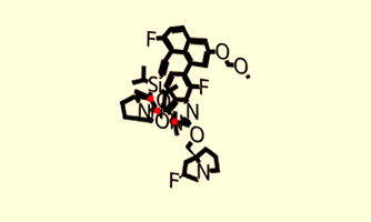 COCOc1cc(-c2ccc3c(N4CC5CCC(C4)N5C(=O)OC(C)(C)C)nc(OC[C@@]45CCCN4C[C@H](F)C5)nc3c2F)c2c(C#C[Si](C(C)C)(C(C)C)C(C)C)c(F)ccc2c1